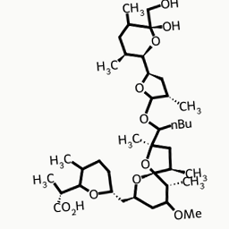 CCCCC(OC1O[C@@H]([C@@H]2O[C@@](O)(CO)C(C)C[C@@H]2C)C[C@@H]1C)[C@@]1(C)C[C@@H](C)[C@@]2(O[C@H](C[C@H]3CCC(C)C([C@@H](C)C(=O)O)O3)CC(OC)[C@H]2C)O1